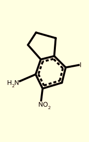 Nc1c([N+](=O)[O-])cc(I)c2c1CCC2